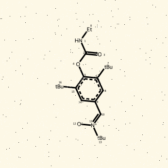 CCNC(=O)Oc1c(C(C)(C)C)cc(C=[N+]([O-])C(C)(C)C)cc1C(C)(C)C